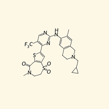 Cc1cc2c(cc1Nc1ncc(C(F)(F)F)c(-c3cc4c(s3)C(=O)N(C)CCS4(=O)=O)n1)CCN(CC1CC1)C2